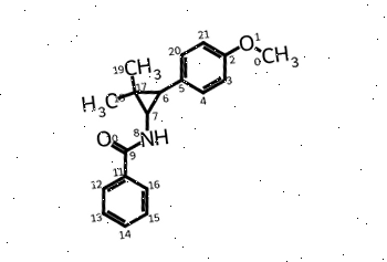 COc1ccc(C2C(NC(=O)c3ccccc3)C2(C)C)cc1